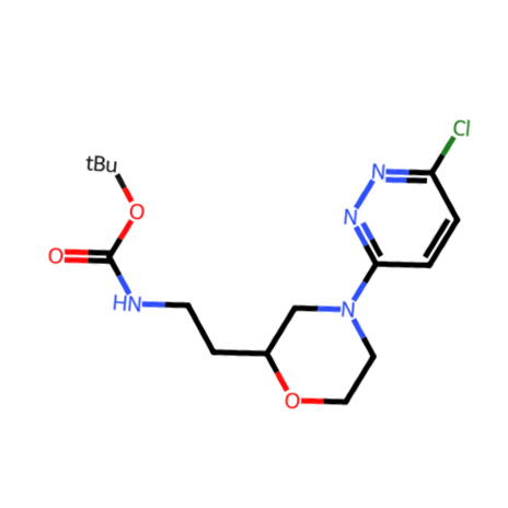 CC(C)(C)OC(=O)NCCC1CN(c2ccc(Cl)nn2)CCO1